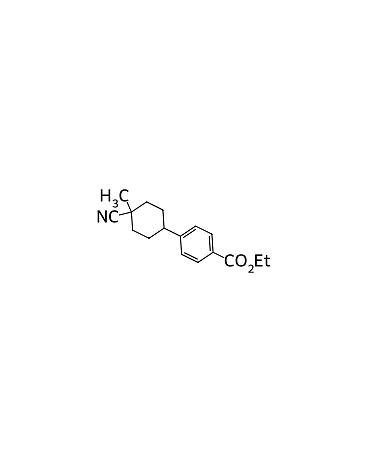 CCOC(=O)c1ccc(C2CCC(C)(C#N)CC2)cc1